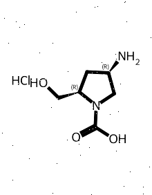 Cl.N[C@@H]1C[C@H](CO)N(C(=O)O)C1